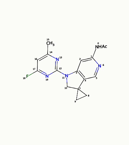 CC(=O)Nc1cc2c(cn1)C1(CC1)CN2c1nc(C)cc(F)n1